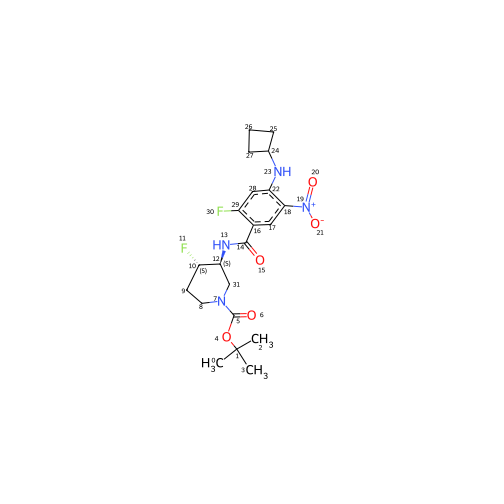 CC(C)(C)OC(=O)N1CC[C@H](F)[C@@H](NC(=O)c2cc([N+](=O)[O-])c(NC3CCC3)cc2F)C1